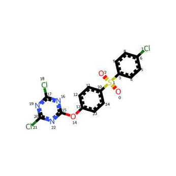 O=S(=O)(c1ccc(Cl)cc1)c1ccc(Oc2nc(Cl)nc(Cl)n2)cc1